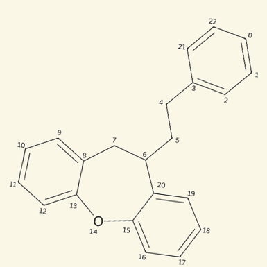 c1ccc(CCC2Cc3ccccc3Oc3ccccc32)cc1